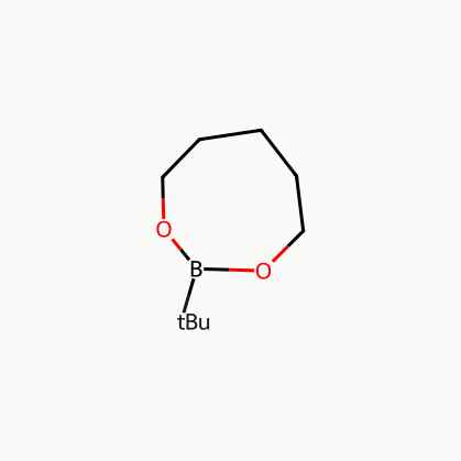 CC(C)(C)B1OCCCCCO1